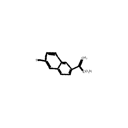 C=C(C(=O)O)c1ccc2cc(F)ccc2c1